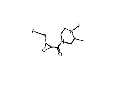 CC1CN(C(=O)C2OC2CF)CCN1I